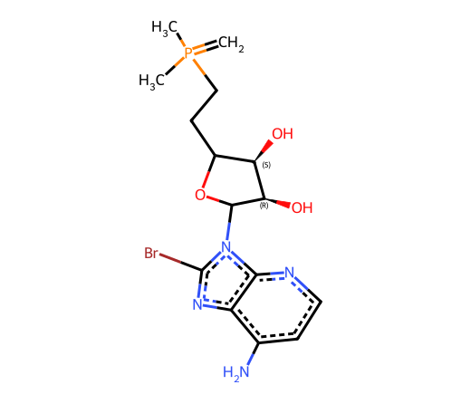 C=P(C)(C)CCC1OC(n2c(Br)nc3c(N)ccnc32)[C@H](O)[C@@H]1O